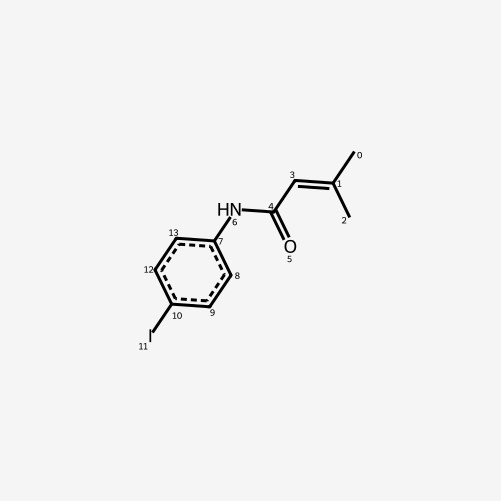 CC(C)=CC(=O)Nc1ccc(I)cc1